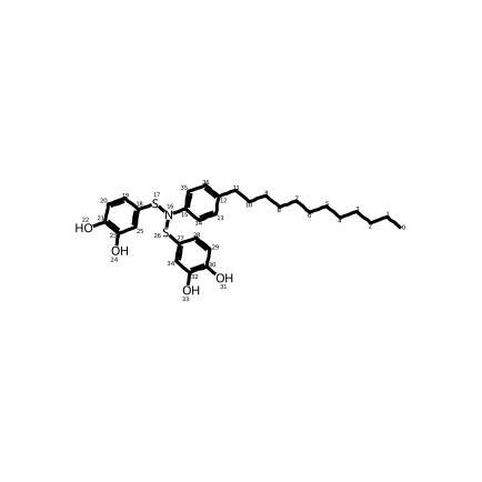 CCCCCCCCCCCCc1ccc(N(Sc2ccc(O)c(O)c2)Sc2ccc(O)c(O)c2)cc1